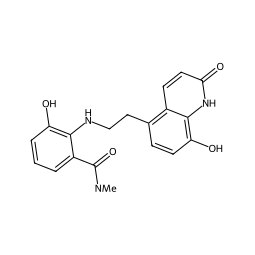 CNC(=O)c1cccc(O)c1NCCc1ccc(O)c2[nH]c(=O)ccc12